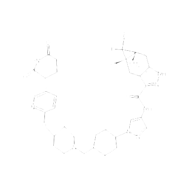 C[C@@]12Cc3[nH]nc(C(=O)Nc4cnn(C5CCC(CN6CCC(Oc7ccc([C@H]8CCC(=O)NC8=O)cn7)CC6)CC5)c4)c3C[C@@H]1C2(F)F